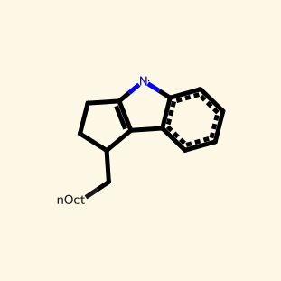 CCCCCCCCCC1CCC2=C1c1ccccc1[N]2